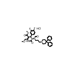 COCC1=C(C(=O)OC)C(c2ccc(F)c(F)c2)N(N(C=O)CCCN2CCC(c3ccccc3)(c3ccccc3)CC2)C(=O)N1.Cl